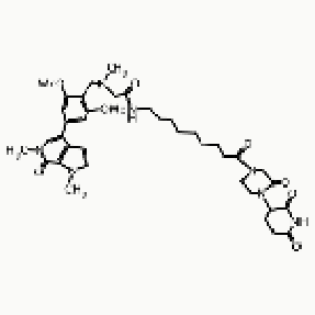 COc1cc(-c2cn(C)c(=O)c3c2ccn3C)cc(OC)c1CN(C)CC(=O)NCCCCCCCCC(=O)N1CCN(C2CCC(=O)NC2=O)C(=O)C1